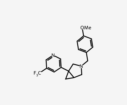 COc1ccc(CN2CC3CC3(c3cncc(C(F)(F)F)c3)C2)cc1